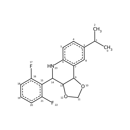 CC(C)c1ccc2c(c1)C1OCOC1C(c1c(F)cccc1F)N2